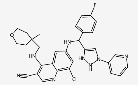 CC1(CNc2c(C#N)cnc3c(Cl)cc(NC(C4=CN(c5cccnc5)NN4)c4ccc(F)cc4)cc23)CCOCC1